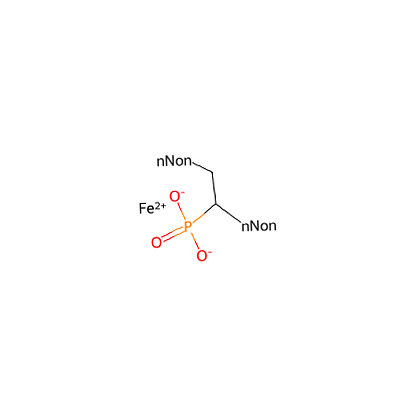 CCCCCCCCCCC(CCCCCCCCC)P(=O)([O-])[O-].[Fe+2]